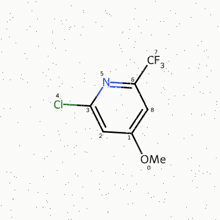 COc1cc(Cl)nc(C(F)(F)F)c1